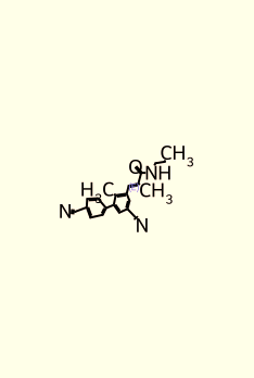 CCCNC(=O)/C(C)=C/c1cc(C#N)cc(-c2ccc(C#N)cc2)c1C